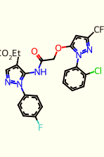 CCOC(=O)c1cnn(-c2ccc(F)cc2)c1NC(=O)COc1cc(C(F)(F)F)nn1-c1ccccc1Cl